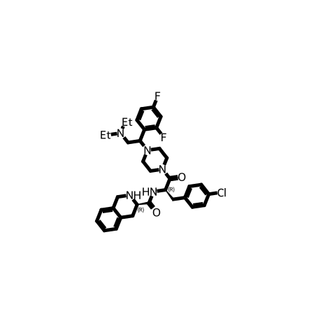 CCN(CC)CC(c1ccc(F)cc1F)N1CCN(C(=O)[C@@H](Cc2ccc(Cl)cc2)NC(=O)[C@H]2Cc3ccccc3CN2)CC1